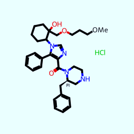 COCCCOCC1(O)CCCCC1n1cnc(C(=O)N2CCNC[C@H]2Cc2ccccc2)c1-c1ccccc1.Cl